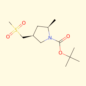 C[C@@H]1C[C@H](CS(C)(=O)=O)CN1C(=O)OC(C)(C)C